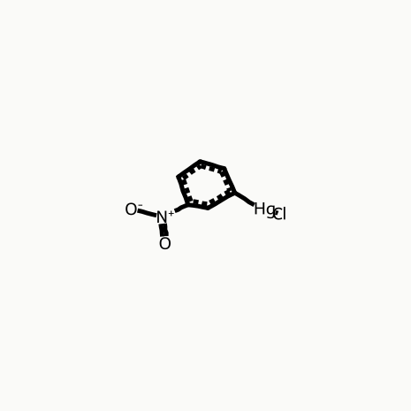 O=[N+]([O-])c1ccc[c]([Hg][Cl])c1